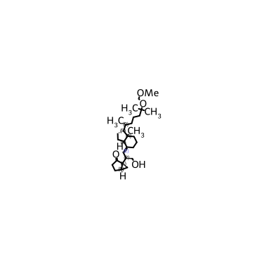 COCOC(C)(C)CCC[C@@H](C)[C@H]1CC[C@H]2/C(=C/[C@@H](CO)[C@]34C[C@H]3CCC4=O)CCC[C@]12C